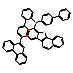 c1ccc(-c2ccc(N(c3ccccc3-c3ccc(-c4cc5ccccc5c5ccccc45)cc3)c3cccc4c3oc3c5ccccc5ccc43)cc2)cc1